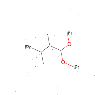 CC(C)OC(OC(C)C)C(C)C(C)C(C)C